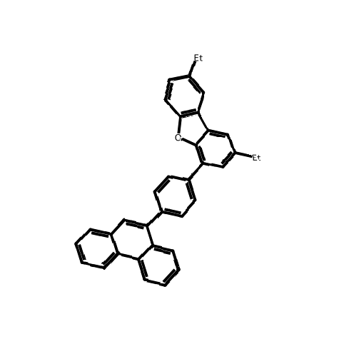 CCc1ccc2oc3c(-c4ccc(-c5cc6ccccc6c6ccccc56)cc4)cc(CC)cc3c2c1